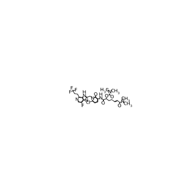 CN(C)C(=O)C=CCCC(OC(=O)N(C)C)C(=O)Nc1ccc(Cl)n(Cc2nc3c(F)cnc(CCC(F)(F)F)c3[nH]2)c1=O